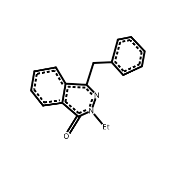 CCn1nc(Cc2ccccc2)c2ccccc2c1=O